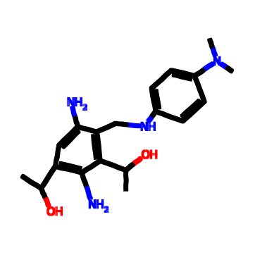 CC(O)c1cc(N)c(CNc2ccc(N(C)C)cc2)c(C(C)O)c1N